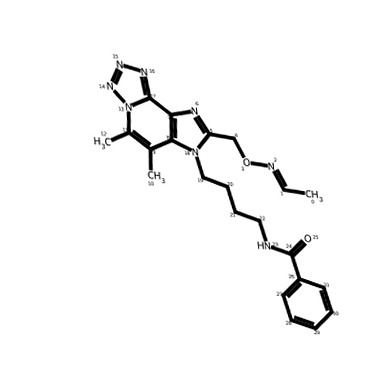 CC=NOCc1nc2c(c(C)c(C)n3nnnc23)n1CCCCNC(=O)c1ccccc1